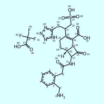 NCc1ccccc1CC(=O)NC1C(=O)N2C(C(=O)O)=C(C(CS(=O)(=O)O)Sc3nnn[nH]3)CS[C@@H]12.O=C(O)C(F)(F)F